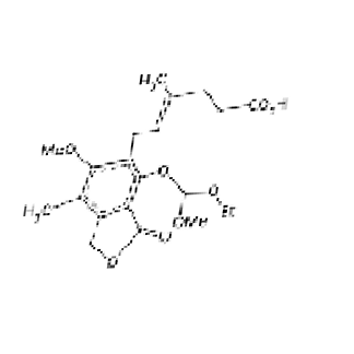 CCOC(OC)Oc1c(C/C=C(\C)CCC(=O)O)c(OC)c(C)c2c1C(=O)OC2